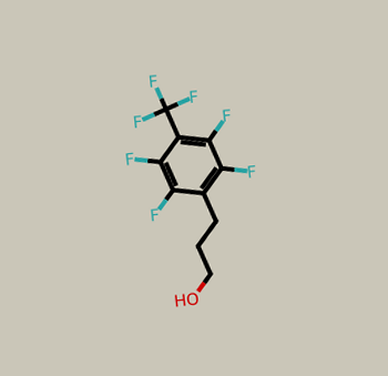 OCCCc1c(F)c(F)c(C(F)(F)F)c(F)c1F